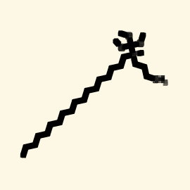 CCCCCCCCCCCCCCCCCC[N+](C)(CCC[SiH3])C(OC)(OC)OC